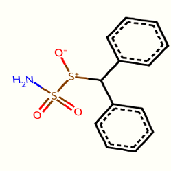 NS(=O)(=O)[S+]([O-])C(c1ccccc1)c1ccccc1